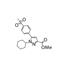 COC(=O)c1cc(-c2ccc(S(C)(=O)=O)cc2)n(C2CCCCC2)n1